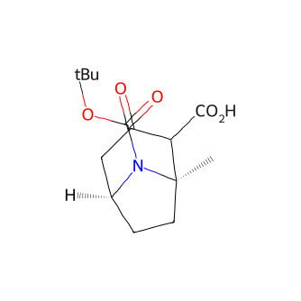 CC(C)(C)OC(=O)N1[C@H]2CC[C@]1(C)C(C(=O)O)C(=O)C2